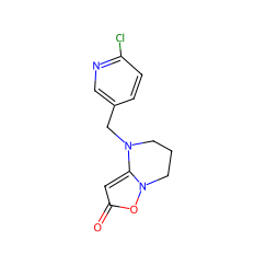 O=c1cc2n(o1)CCCN2Cc1ccc(Cl)nc1